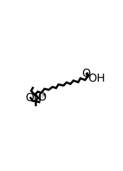 CCC1(CCCCCCCCCCCCCCC(=O)O)OCC(C)(C)[N+]1=O